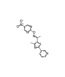 C/C(=N\Oc1ncc([N+](=O)[O-])cn1)c1sc(-c2cccnc2)nc1C